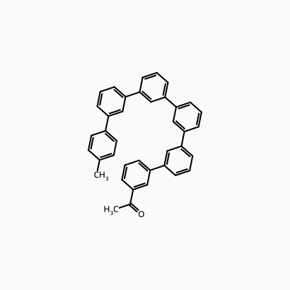 CC(=O)c1cccc(-c2cccc(-c3cccc(-c4cccc(-c5cccc(-c6ccc(C)cc6)c5)c4)c3)c2)c1